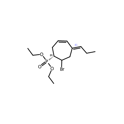 CC/C=C1/C=CC[C@@H](P(=O)(OCC)OCC)C(Br)C1